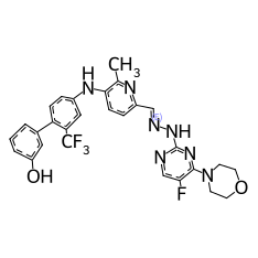 Cc1nc(/C=N/Nc2ncc(F)c(N3CCOCC3)n2)ccc1Nc1ccc(-c2cccc(O)c2)c(C(F)(F)F)c1